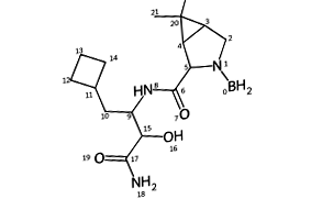 BN1CC2C(C1C(=O)NC(CC1CCC1)C(O)C(N)=O)C2(C)C